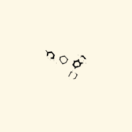 Cc1ccc(N[C@H]2CC[C@@H](Oc3cc(N4CCOCC4)cc4nccnc34)CC2)nc1